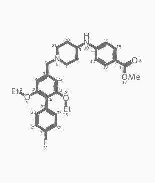 CCOc1cc(CN2CCC(Nc3ccc(C(=O)OC)cc3)CC2)cc(OCC)c1-c1ccc(F)cc1